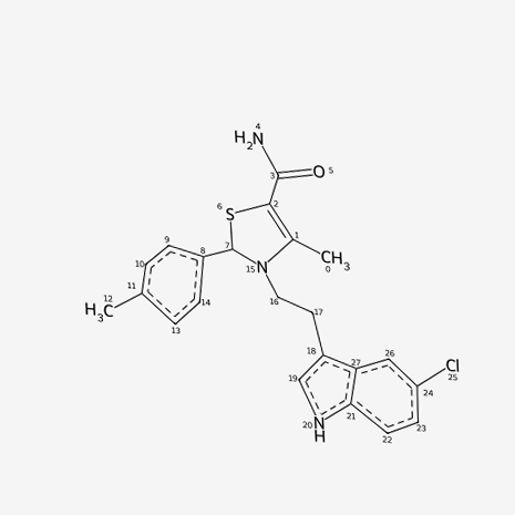 CC1=C(C(N)=O)SC(c2ccc(C)cc2)N1CCc1c[nH]c2ccc(Cl)cc12